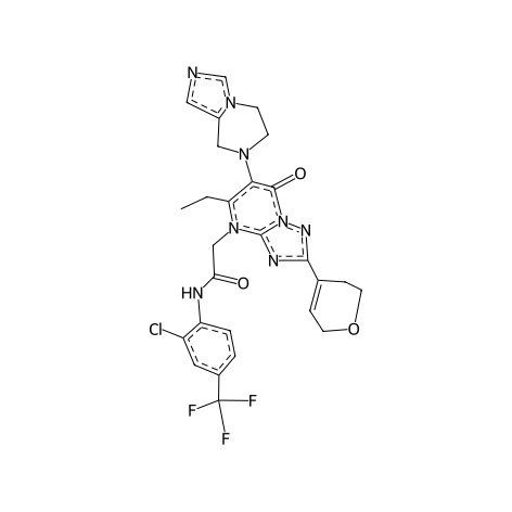 CCc1c(N2CCn3cncc3C2)c(=O)n2nc(C3=CCOCC3)nc2n1CC(=O)Nc1ccc(C(F)(F)F)cc1Cl